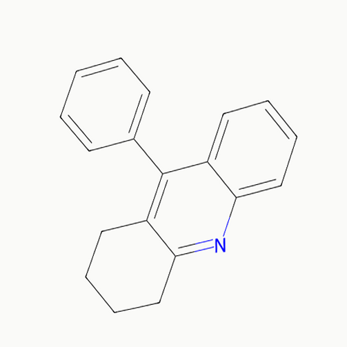 c1ccc(-c2c3c(nc4ccccc24)CCCC3)cc1